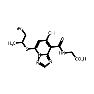 CC(C)CC(C)Sc1cc(O)c(C(=O)NCC(=O)O)c2ncnn12